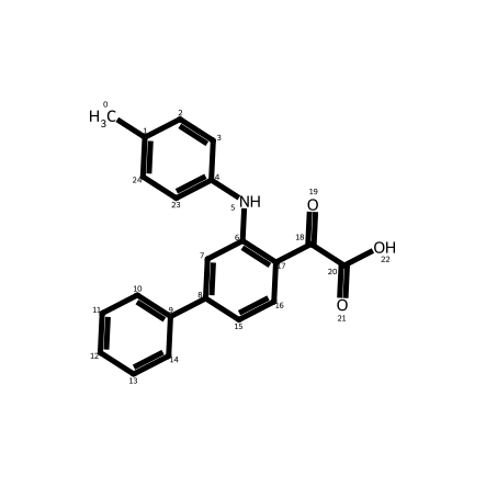 Cc1ccc(Nc2cc(-c3ccccc3)ccc2C(=O)C(=O)O)cc1